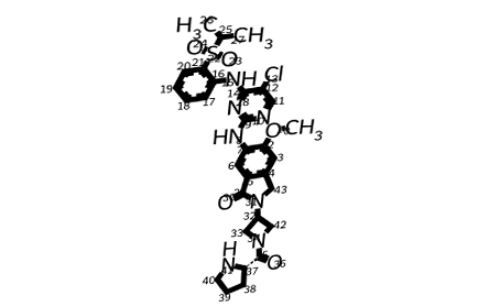 COc1cc2c(cc1Nc1ncc(Cl)c(Nc3ccccc3S(=O)(=O)C(C)C)n1)C(=O)N(C1CN(C(=O)[C@@H]3CCCN3)C1)C2